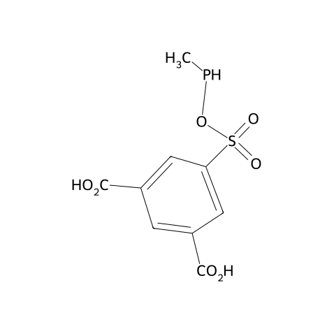 CPOS(=O)(=O)c1cc(C(=O)O)cc(C(=O)O)c1